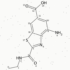 CCNC(=O)c1nc2c(N)cc(C(=O)O)cc2s1